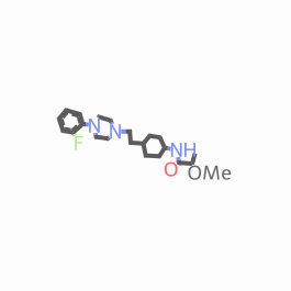 COC(C)C(=O)NC1CCC(CCN2CCN(c3ccccc3F)CC2)CC1